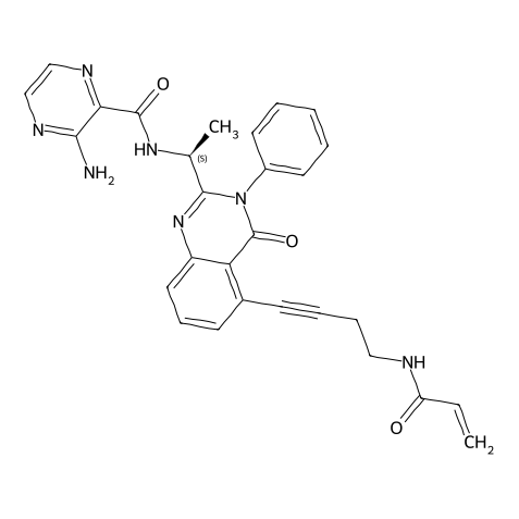 C=CC(=O)NCCC#Cc1cccc2nc([C@H](C)NC(=O)c3nccnc3N)n(-c3ccccc3)c(=O)c12